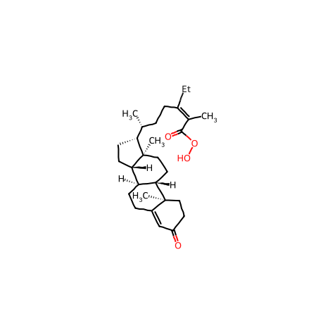 CCC(CC[C@@H](C)[C@H]1CC[C@H]2[C@@H]3CCC4=CC(=O)CC[C@]4(C)[C@H]3CC[C@]12C)=C(C)C(=O)OO